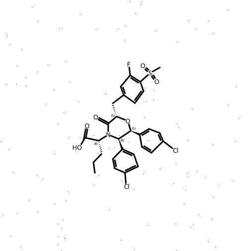 CCC[C@H](C(=O)O)N1C(=O)[C@H](Cc2ccc(S(C)(=O)=O)c(F)c2)O[C@@H](c2ccc(Cl)cc2)[C@H]1c1ccc(Cl)cc1